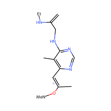 C=C(CNc1ncnc(/C=C(\C)ONC)c1C)NCC